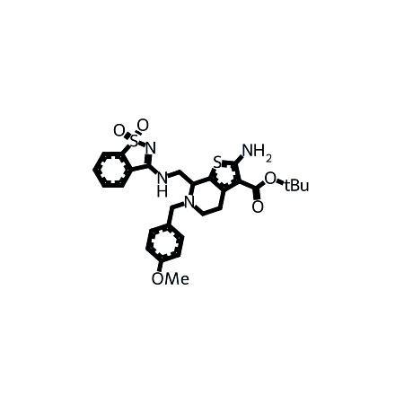 COc1ccc(CN2CCc3c(sc(N)c3C(=O)OC(C)(C)C)C2CNC2=NS(=O)(=O)c3ccccc32)cc1